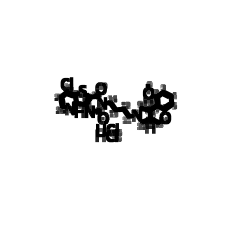 COc1cccc2c1[C@H]1CN(CCCCn3c(=O)[nH]c4c(sc5c(Cl)ccnc54)c3=O)C[C@@H]1CO2.Cl.Cl